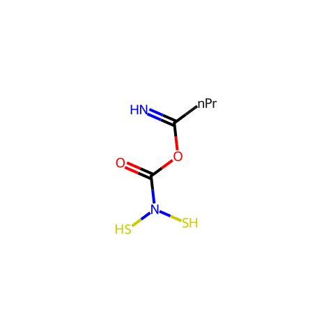 CCCC(=N)OC(=O)N(S)S